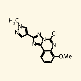 COc1cccc2c1nc(Cl)n1nc(-c3cnn(C)c3)nc21